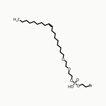 CCCCCCCC/C=C\CCCCCCCCOCCOCCOP(=O)(O)OCCBr